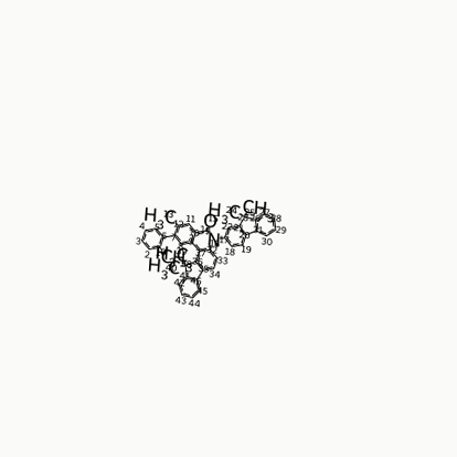 Cc1ccccc1-c1cc2c(cc1C)c(=O)n(-c1ccc3c(c1)C(C)(C)c1ccccc1-3)c1ccc3c(c21)C(C)(C)c1ccccc1-3